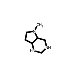 CN1CCC2NCNCC21